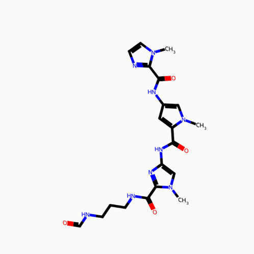 Cn1cc(NC(=O)c2nccn2C)cc1C(=O)Nc1cn(C)c(C(=O)NCCCNC=O)n1